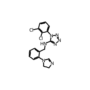 Clc1cccc(-n2nnnc2NCc2ccccc2N2C=NCC2)c1Cl